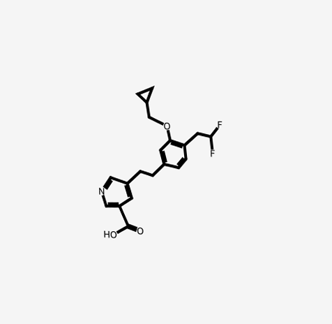 O=C(O)c1cncc(CCc2ccc(CC(F)F)c(OCC3CC3)c2)c1